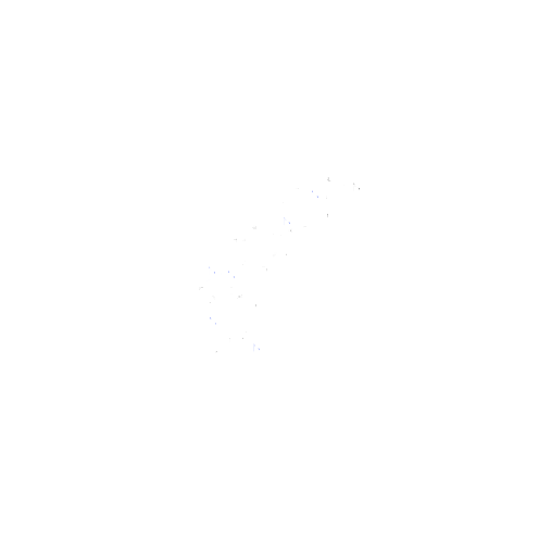 C[C@H]1C[C@@H](C(N)=O)N(c2cnn(-c3ccc(N4CCN(CC#N)CC4)cc3)c2)C1